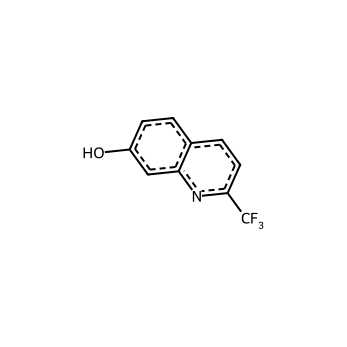 Oc1ccc2ccc(C(F)(F)F)nc2c1